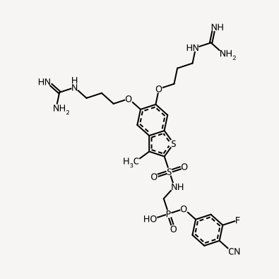 Cc1c(S(=O)(=O)NCP(=O)(O)Oc2ccc(C#N)c(F)c2)sc2cc(OCCCNC(=N)N)c(OCCCNC(=N)N)cc12